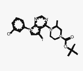 CC1CN(C(=O)OC(C)(C)C)CCN1c1ncnc2c1c(I)cn2-c1cccc(Cl)c1